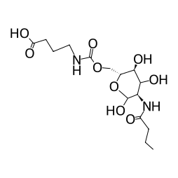 CCCC(=O)N[C@H]1C(O)O[C@H](COC(=O)NCCCC(=O)O)[C@@H](O)C1O